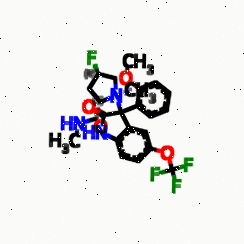 CNC(=O)[C@@H]1C[C@@H](F)C[N+]1(C)C1(c2ccccc2OC)C(=O)Nc2ccc(OC(F)(F)F)cc21